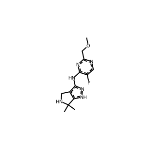 COCc1ncc(F)c(Nc2n[nH]c3c2CNC3(C)C)n1